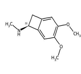 CN[C@H]1Cc2cc(OC)c(OC)cc21